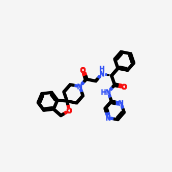 O=C(Nc1cnccn1)[C@H](NCC(=O)N1CCC2(CC1)OCc1ccccc12)c1ccccc1